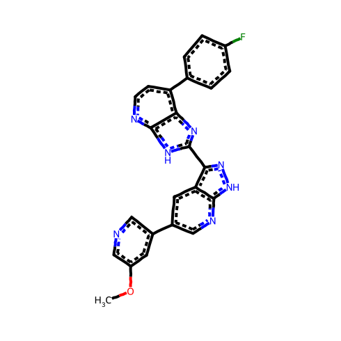 COc1cncc(-c2cnc3[nH]nc(-c4nc5c(-c6ccc(F)cc6)ccnc5[nH]4)c3c2)c1